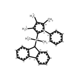 Cc1c(C)c([Si](C)(C)C2c3ccccc3-c3ccccc32)p(-c2ccccc2)c1C